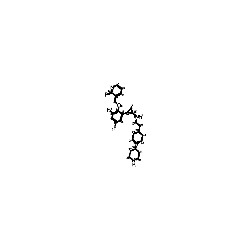 Fc1cc(F)c(OCc2cccnc2F)c(C2CC2NCCC2CCN(C3CCNCC3)CC2)c1